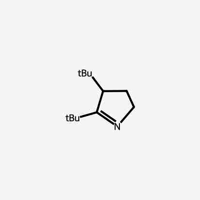 CC(C)(C)C1=NCCC1C(C)(C)C